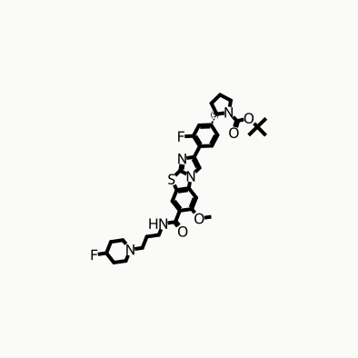 COc1cc2c(cc1C(=O)NCCCN1CCC(F)CC1)sc1nc(-c3ccc([C@@H]4CCCN4C(=O)OC(C)(C)C)cc3F)cn12